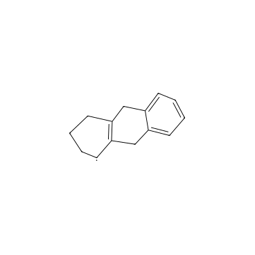 [CH]1CCCC2=C1Cc1ccccc1C2